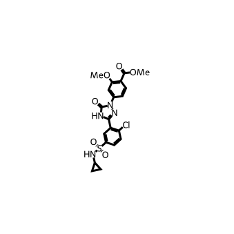 COC(=O)c1ccc(-n2nc(-c3cc(S(=O)(=O)NC4CC4)ccc3Cl)[nH]c2=O)cc1OC